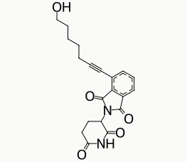 O=C1CCC(N2C(=O)c3cccc(C#CCCCCCO)c3C2=O)C(=O)N1